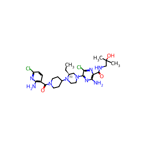 CC[C@H]1CN(c2nc(N)c(C(=O)NCC(C)(C)O)nc2Cl)CCN1C1CCN(C(=O)c2ccc(Cl)nc2N)CC1